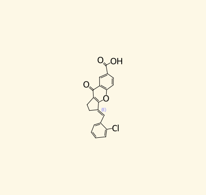 O=C(O)c1ccc2oc3c(c(=O)c2c1)CC/C3=C\c1ccccc1Cl